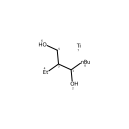 CCCCC(O)C(CC)CO.[Ti]